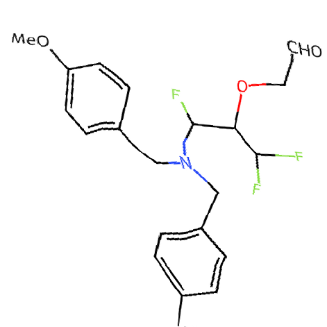 COc1ccc(CN(Cc2ccc(OC)cc2)C(F)C(OCC=O)C(F)F)cc1